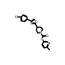 Cc1ccc(OC(=O)N2CCC(c3nc(-c4ccc(Cl)cc4)co3)CC2)cn1